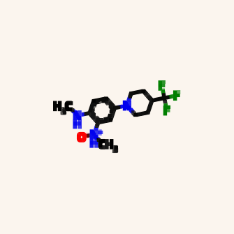 CNc1ccc(N2CCC(C(F)(F)F)CC2)cc1[NH+](C)[O-]